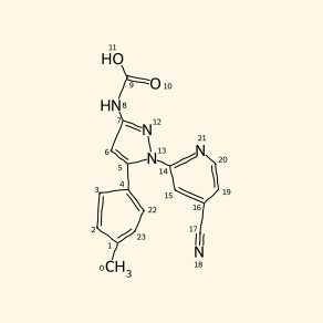 Cc1ccc(-c2cc(NC(=O)O)nn2-c2cc(C#N)ccn2)cc1